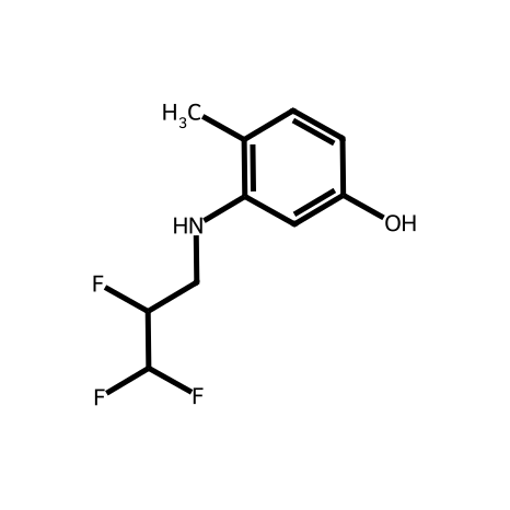 Cc1ccc(O)cc1NCC(F)C(F)F